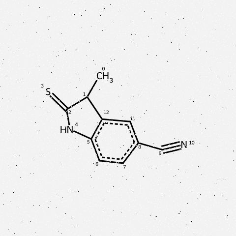 CC1C(=S)Nc2ccc(C#N)cc21